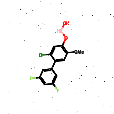 COc1cc(-c2cc(F)cc(F)c2)c(Cl)cc1OBO